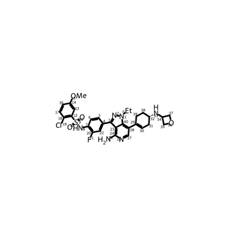 CCn1nc(-c2ccc(NS(=O)(=O)c3cc(OC)ccc3Cl)c(F)c2)c2c(N)ncc(C3=CC[C@@H](NC4COC4)CC3)c21